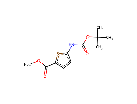 COC(=O)c1ccc(NC(=O)OC(C)(C)C)s1